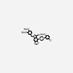 CCc1nn(Cc2ccc(OC)c(OC)c2)c2cc3c(c(N4CCN(c5cc(Cl)ccc5OC)CC4)c12)OCO3